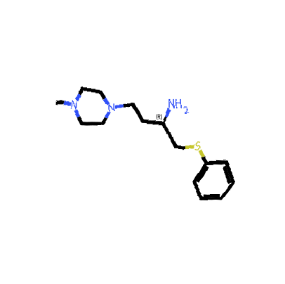 CN1CCN(CC[C@@H](N)CSc2ccccc2)CC1